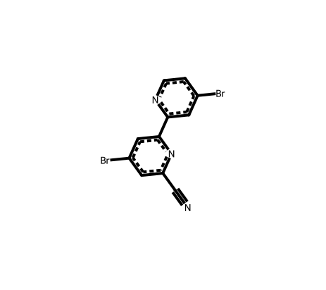 N#Cc1cc(Br)cc(-c2cc(Br)ccn2)n1